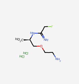 Cl.Cl.N=C(CF)N[C@@H](COCCN)C(=O)O